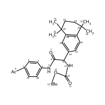 CC(=O)c1ccc(NC(=O)C(NC(=O)OC(C)(C)C)c2ccc3c(c2)C(C)(C)CCC3(C)C)cc1